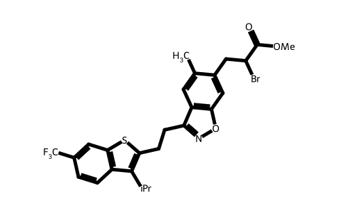 COC(=O)C(Br)Cc1cc2onc(CCc3sc4cc(C(F)(F)F)ccc4c3C(C)C)c2cc1C